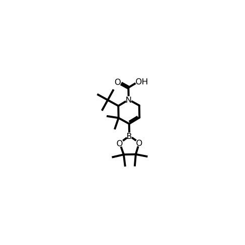 CC(C)(C)C1N(C(=O)O)CC=C(B2OC(C)(C)C(C)(C)O2)C1(C)C